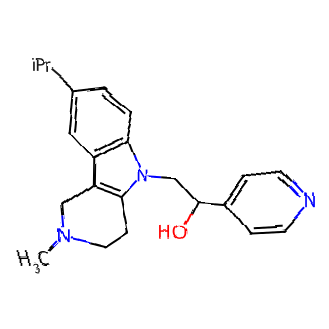 CC(C)c1ccc2c(c1)c1c(n2CC(O)c2ccncc2)CCN(C)C1